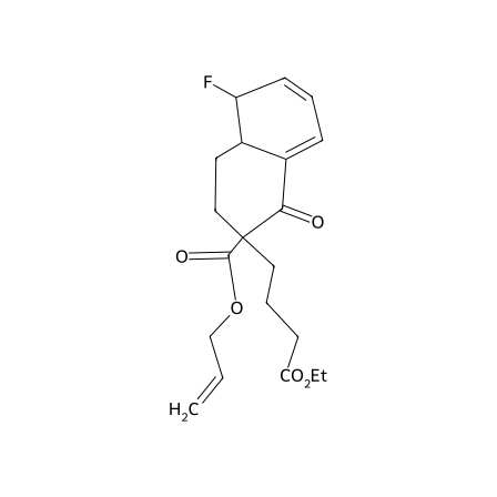 C=CCOC(=O)C1(CCCC(=O)OCC)CCC2C(=CC=CC2F)C1=O